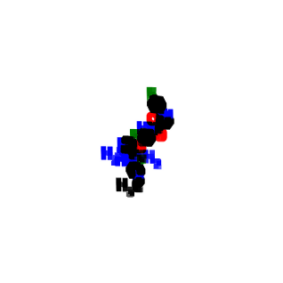 CCN1CC[C@H](NC(N)c2c(Oc3ccc(NC(=O)c4ccnn(-c5ccc(F)cc5)c4=O)cc3F)ccnc2N)[C@H](F)C1